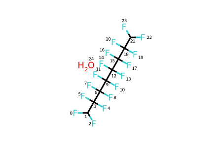 FC(F)C(F)(F)C(F)(F)C(F)(F)C(F)(F)C(F)(F)C(F)(F)C(F)F.O